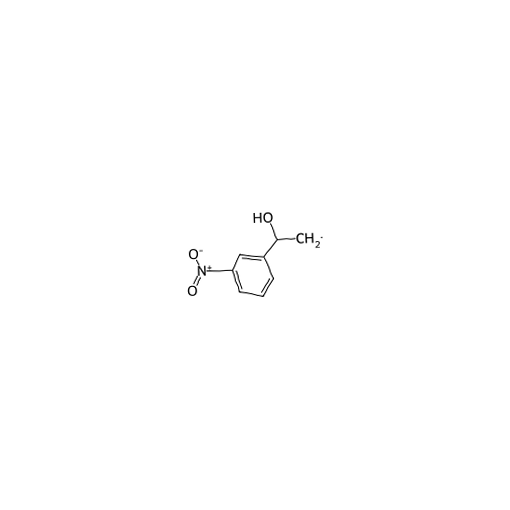 [CH2]C(O)c1cccc([N+](=O)[O-])c1